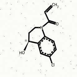 C=CC(=O)N1CC[C@H](O)c2cc(Cl)ccc21